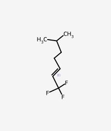 CC(C)CC/C=C/C(F)(F)F